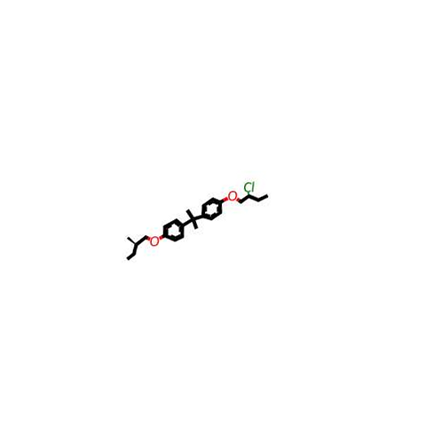 CC[C@@H](C)COc1ccc(C(C)(C)c2ccc(OC[C@H](Cl)CC)cc2)cc1